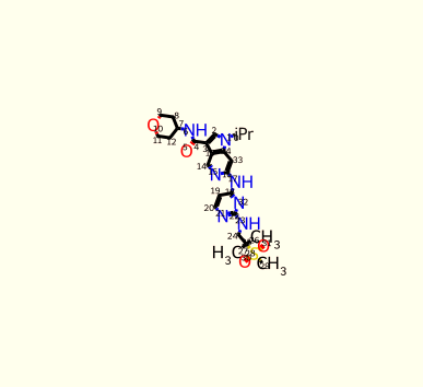 CC(C)n1cc(C(=O)NC2CCOCC2)c2cnc(Nc3ccnc(NCC(C)(C)S(C)(=O)=O)n3)cc21